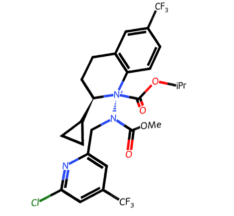 COC(=O)N(Cc1cc(C(F)(F)F)cc(Cl)n1)[N@@+]1(C(=O)OC(C)C)c2ccc(C(F)(F)F)cc2CC[C@@H]1C1CC1